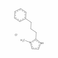 C[n+]1cc[nH]c1CCCc1ccccc1.[Cl-]